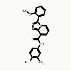 COc1ccccc1-c1nnc2c(C(=O)Nc3ccc(C)c(C)c3)cccn12